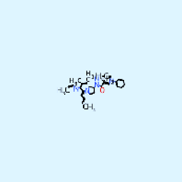 C=CN(/C=C(\C)C(=O)NC1CCN(C(=C\CCC)/C(=N/C=C\C)C(C)CC)C1)C1=CCCC=C1